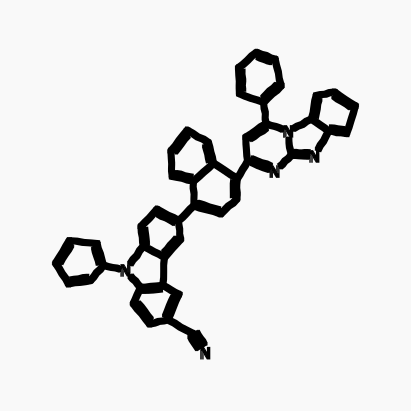 N#Cc1ccc2c(c1)c1cc(-c3ccc(-c4cc(-c5ccccc5)n5c(n4)nc4ccccc45)c4ccccc34)ccc1n2-c1ccccc1